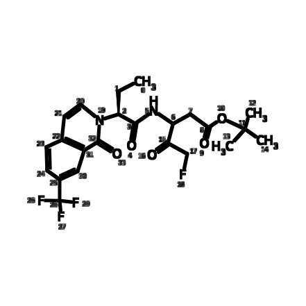 CC[C@@H](C(=O)NC(CC(=O)OC(C)(C)C)C(=O)CF)n1ccc2ccc(C(F)(F)F)cc2c1=O